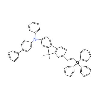 CC1(C)c2cc(/C=C/[Si](c3ccccc3)(c3ccccc3)c3ccccc3)ccc2-c2ccc(N(c3ccccc3)c3ccc(-c4ccccc4)cc3)cc21